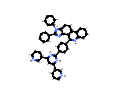 c1ccc(-c2nc3c4c(-c5ccc(-c6nc(-c7cccnc7)cc(-c7cccnc7)n6)cc5)nc5ccccc5c4ccc3n2-c2ccccc2)cc1